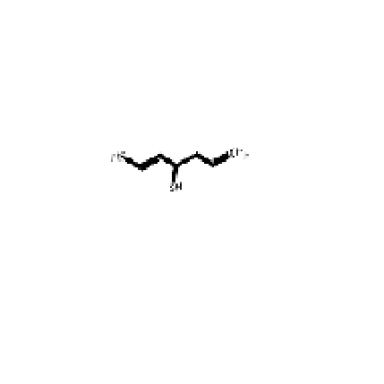 C=CCC(S)C=CS